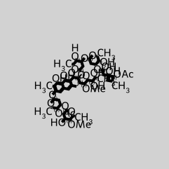 CO[C@@H]1C(O)C[C@H](OC2C[C@H](Oc3cc4cc5c(c(O)c4c(O)c3C)C(=O)[C@@H](O[C@H]3CC(O[C@H]4CC(O[C@H](O)C[C@]6(O)CC(C)[C@@H]6OC(C)=O)[C@H](O)C(C)O4)[C@H](O)C(C)O3)[C@H]([C@H](OC)C(=O)[C@@H](O)[C@@H](C)O)C5)OC(C)[C@@H]2OC(C)=O)OC1C